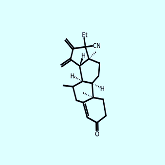 C=C1C(=C)C(C#N)(CC)[C@@]2(C)CC[C@@H]3[C@@H](C(C)CC4=CC(=O)CC[C@@]43C)[C@H]12